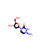 NN1C=CN([C@H]2C[C@H](O)[C@@H](CO)O2)C(=O)N1